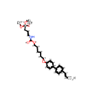 CCO[Si](CCCNC(=O)OCCCCCCOc1ccc(-c2ccc(C=CC(=O)O)cc2)cc1)(OCC)OCC